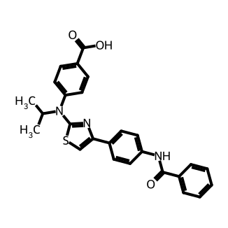 CC(C)N(c1ccc(C(=O)O)cc1)c1nc(-c2ccc(NC(=O)c3ccccc3)cc2)cs1